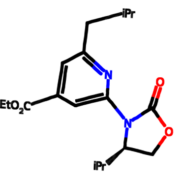 CCOC(=O)c1cc(CC(C)C)nc(N2C(=O)OC[C@H]2C(C)C)c1